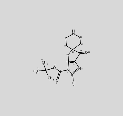 CC(C)(C)OC(=O)[SH]1C(Cl)=NC2=C1CC1(CCNCC1)C2=O